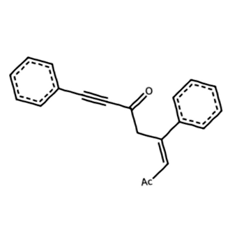 CC(=O)/C=C(\CC(=O)C#Cc1ccccc1)c1ccccc1